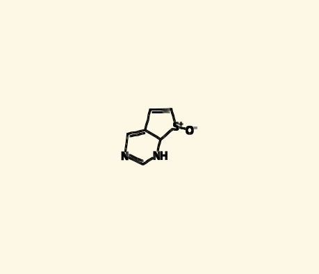 [O-][S+]1C=CC2=CN=CNC21